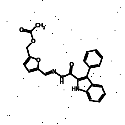 CC(=O)OCc1ccc(C=NNC(=O)c2[nH]c3ccccc3c2-c2ccccc2)o1